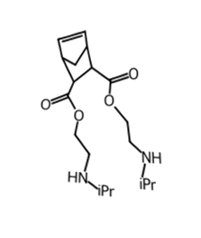 CC(C)NCCOC(=O)C1C2C=CC(C2)C1C(=O)OCCNC(C)C